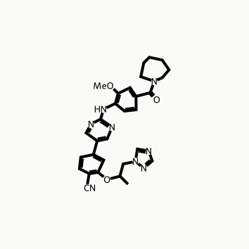 COc1cc(C(=O)N2CCCCCC2)ccc1Nc1ncc(-c2ccc(C#N)c(OC(C)Cn3cncn3)c2)cn1